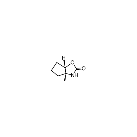 C[C@@]12CCC[C@@H]1OC(=O)N2